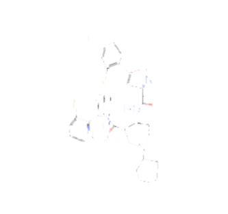 C[C@@H](NC(=O)[C@@H]1CN(C2CCCCC2)CC[C@H]1NC(=O)c1cc(-c2ccc(F)cc2F)on1)c1ncccc1F